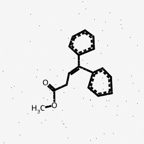 COC(=O)CC=C(c1ccccc1)c1ccccc1